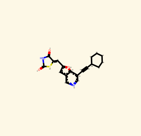 O=C1NC(=O)/C(=C/c2cc3cncc(C#CC4CCCCC4)c3o2)S1